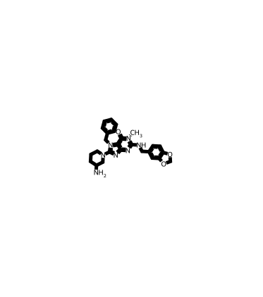 Cn1c(NCc2ccc3c(c2)OCO3)nc2nc(N3CCCC(N)C3)n(Cc3ccccc3)c2c1=O